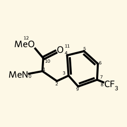 CNC(Cc1cccc(C(F)(F)F)c1)C(=O)OC